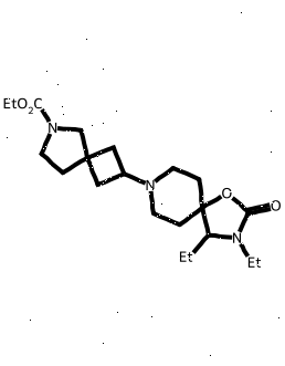 CCOC(=O)N1CCC2(CC(N3CCC4(CC3)OC(=O)N(CC)C4CC)C2)C1